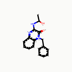 CC(O)Nc1nc2ccccc2n(Cc2ccccc2)c1=O